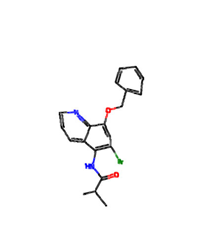 CC(C)C(=O)Nc1c(Br)cc(OCc2ccccc2)c2ncccc12